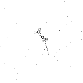 CCCCCCCCCCCCC(=O)Nc1ccc([CH]Cc2cc(Cl)cc(Cl)c2)cc1